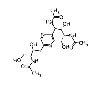 CC(=O)N[C@H](c1cnc(C[C@H](O)[C@@H](CO)NC(C)=O)cn1)[C@H](O)[C@@H](CO)NC(C)=O